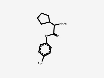 CC(=O)NC(C(=O)Nc1ccc(C(F)(F)F)cc1)C1CCCC1